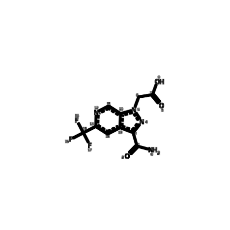 NC(=O)c1nn(CC(=O)O)c2cnc(C(F)(F)F)cc12